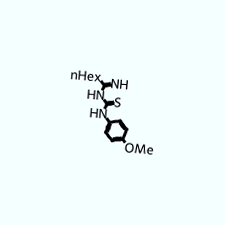 CCCCCCC(=N)NC(=S)Nc1ccc(OC)cc1